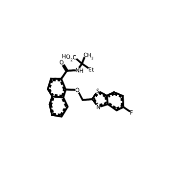 CCC(C)(NC(=O)c1ccc2ccccc2c1OCc1nc2cc(F)ccc2s1)C(=O)O